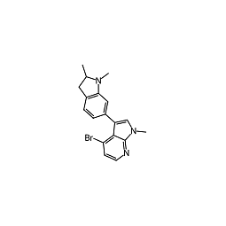 CC1Cc2ccc(-c3cn(C)c4nccc(Br)c34)cc2N1C